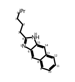 CC(C)CCCc1nc2cc3ccccc3cc2[nH]1